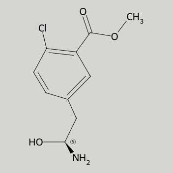 COC(=O)c1cc(C[C@@H](N)O)ccc1Cl